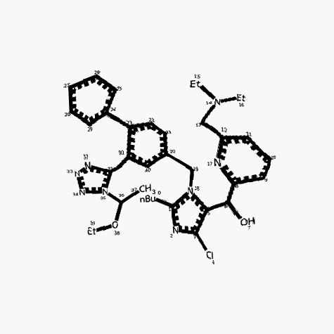 CCCCc1nc(Cl)c(C(O)c2cccc(CN(CC)CC)n2)n1Cc1ccc(-c2ccccc2)c(-c2nnnn2C(C)OCC)c1